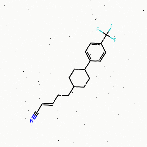 N#CC=CCCC1CCC(c2ccc(C(F)(F)F)cc2)CC1